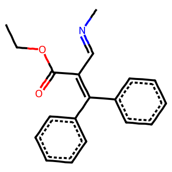 CCOC(=O)C(/C=N/C)=C(c1ccccc1)c1ccccc1